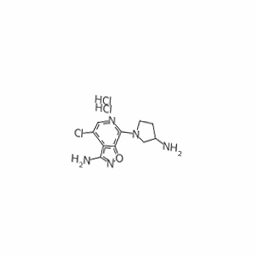 Cl.Cl.Nc1noc2c(N3CCC(N)C3)ncc(Cl)c12